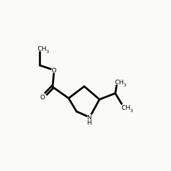 CCOC(=O)C1CNC(C(C)C)C1